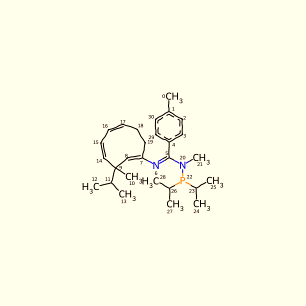 Cc1ccc(/C(=N\C2=C/C(C)(C(C)C)/C=C\C=C/CC2)N(C)P(C(C)C)C(C)C)cc1